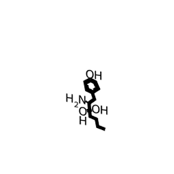 CCCCC(O)(O)[C@@H](N)Cc1ccc(O)cc1